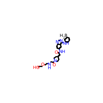 Bc1cccc(Nc2ncnc3ccc(NC(=O)C=C4CCN(C(=O)CNCCOCCO)CC4)cc23)c1